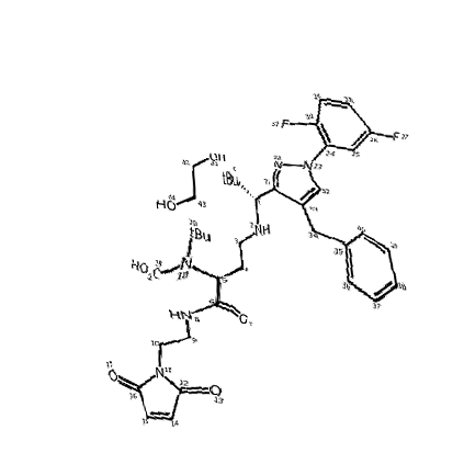 CC(C)(C)[C@@H](NCC[C@@H](C(=O)NCCN1C(=O)C=CC1=O)N(C(=O)O)C(C)(C)C)c1nn(-c2cc(F)ccc2F)cc1Cc1ccccc1.OCCO